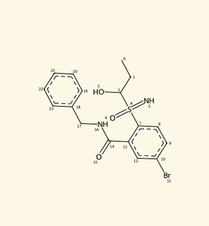 CCC(O)S(=N)(=O)c1ccc(Br)cc1C(=O)NCc1ccccc1